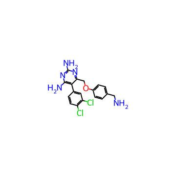 NCc1ccc(OCc2nc(N)nc(N)c2-c2ccc(Cl)c(Cl)c2)cc1